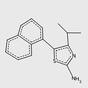 CC(C)c1nc(N)sc1-c1cccc2ccccc12